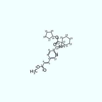 COC(=O)/C=C/c1ccc(CNC2(C(=O)OC3CCCC3)CCCCC2)nc1